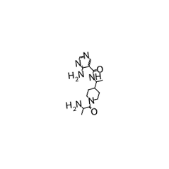 CC(N)C(=O)N1CCC(C(C)NC(=O)c2cncnc2N)CC1